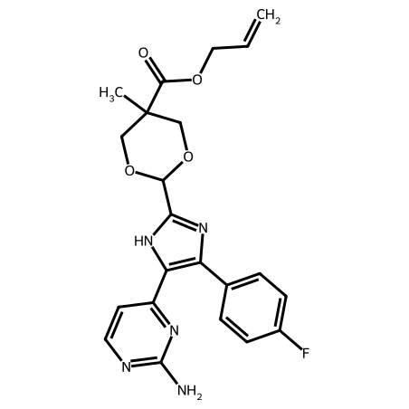 C=CCOC(=O)C1(C)COC(c2nc(-c3ccc(F)cc3)c(-c3ccnc(N)n3)[nH]2)OC1